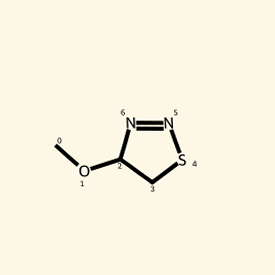 COC1CSN=N1